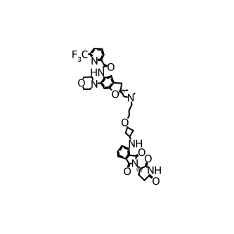 CN(CCCOC1CC(Nc2cccc3c2C(=O)N([C@@H]2CCC(=O)NC2=O)C3=O)C1)C[C@@]1(C)Cc2cc(NC(=O)c3cccc(C(F)(F)F)n3)c(N3CCOCC3)cc2O1